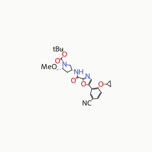 COC[C@H]1C[C@@H](NC(=O)c2ncc(-c3cc(C#N)ccc3OC3CC3)o2)CN1C(=O)OC(C)(C)C